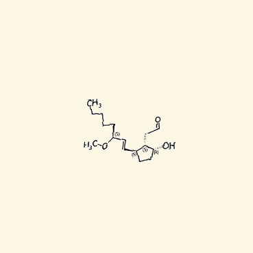 CCCCC[C@@H](C=C[C@@H]1CC[C@@H](O)[C@H]1CC=O)OC